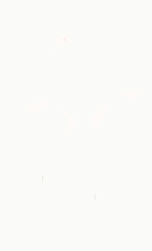 CC(O)C(CC(=O)O)C(=O)OCCC(Cl)(Cl)Cl